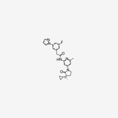 Cc1cc(N2CC[C@@](C)(C3CC3)C2=O)cc(NC(=O)Cc2cc(F)cc(-n3cccn3)c2)n1